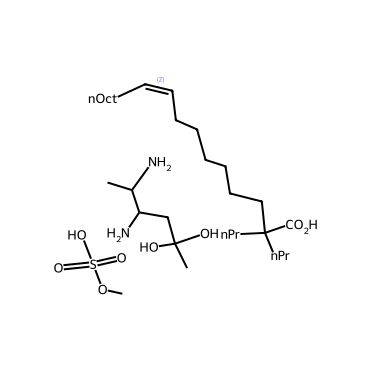 CC(N)C(N)CC(C)(O)O.CCCCCCCC/C=C\CCCCCCC(CCC)(CCC)C(=O)O.COS(=O)(=O)O